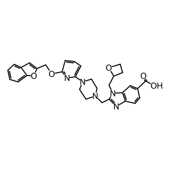 O=C(O)c1ccc2nc(CN3CCN(c4cccc(OCc5cc6ccccc6o5)n4)CC3)n(CC3CCO3)c2c1